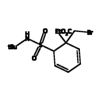 CCOC(=O)C1(CBr)C=CC=CC1S(=O)(=O)NC(C)(C)C